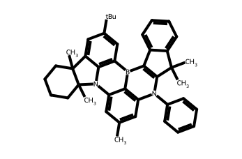 Cc1cc2c3c(c1)N1c4c(cc(C(C)(C)C)cc4C4(C)CCCCC14C)B3C1=C(N2c2ccccc2)C(C)(C)c2ccccc21